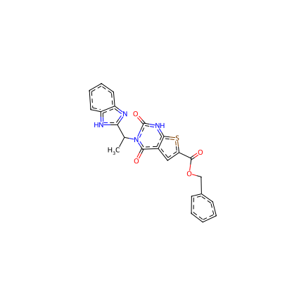 CC(c1nc2ccccc2[nH]1)n1c(=O)[nH]c2sc(C(=O)OCc3ccccc3)cc2c1=O